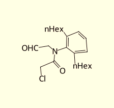 CCCCCCc1cccc(CCCCCC)c1N(CC=O)C(=O)CCl